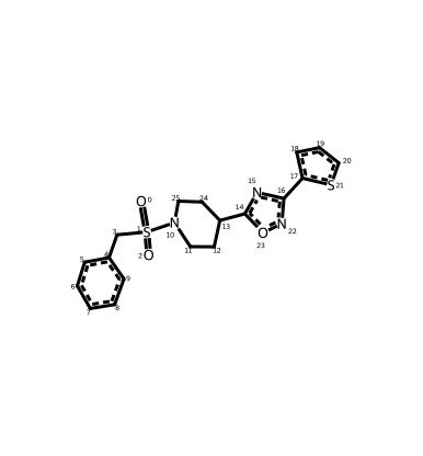 O=S(=O)(Cc1ccccc1)N1CCC(c2nc(-c3cccs3)no2)CC1